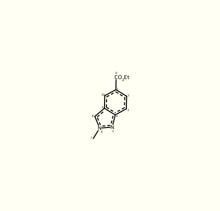 CCOC(=O)c1ccc2nn(C)cc2c1